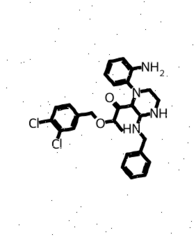 CC(OCc1ccc(Cl)c(Cl)c1)C(=O)C1C(NCc2ccccc2)NCCN1c1ccccc1N